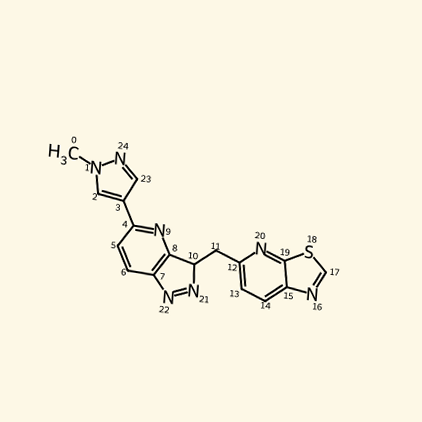 Cn1cc(-c2ccc3c(n2)C(Cc2ccc4ncsc4n2)N=N3)cn1